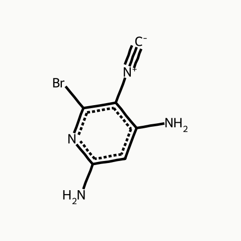 [C-]#[N+]c1c(N)cc(N)nc1Br